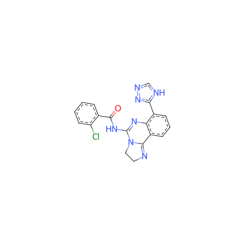 O=C(NC1=Nc2c(cccc2-c2nnc[nH]2)C2=NCCN12)c1ccccc1Cl